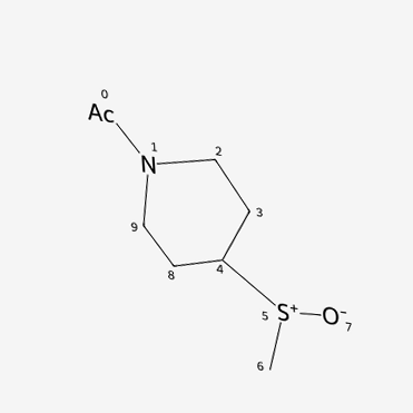 CC(=O)N1CCC([S+](C)[O-])CC1